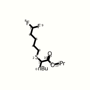 CCCCC(SCCCCC(F)F)C(=O)OC(C)C